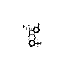 CN1CC(=O)N(Cc2ccccc2C(F)(F)F)c2ccc(F)cc21